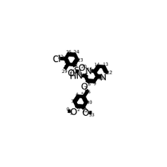 COc1ccc(COc2cc3ncccc3nc2NS(=O)(=O)c2cccc(Cl)c2C)cc1OC